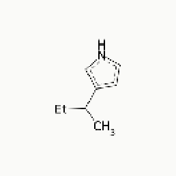 CCC(C)c1cc[nH]c1